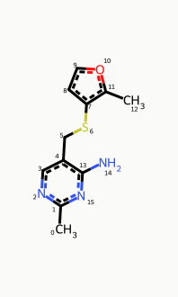 Cc1ncc(CSc2ccoc2C)c(N)n1